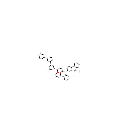 CC(C)(C)c1cc(-c2ccc(N(c3ccc4c(c3)C(C)(C)c3ccccc3-4)c3ccccc3-c3cccc(C(C)(C)C)c3)cc2)cc(-c2cc(-c3cc(C(C)(C)C)cc(C(C)(C)C)c3)cc(C(C)(C)C)c2)c1